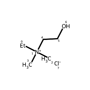 CC[N+](C)(C)CCO.[Cl-]